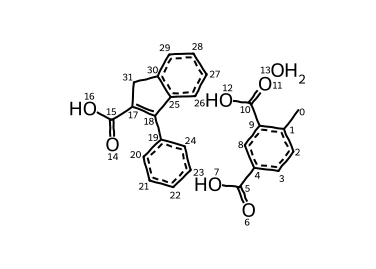 Cc1ccc(C(=O)O)cc1C(=O)O.O.O=C(O)C1=C(c2ccccc2)c2ccccc2C1